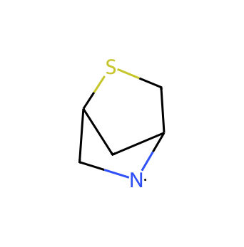 C1SC2C[N]C1C2